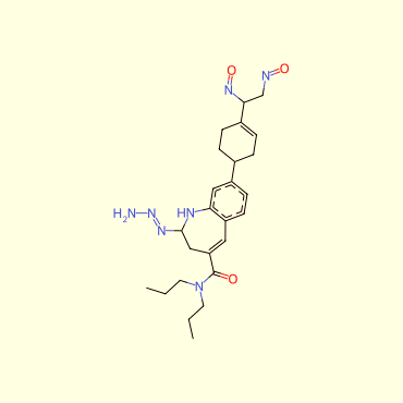 CCCN(CCC)C(=O)C1=Cc2ccc(C3CC=C(C(CN=O)N=O)CC3)cc2NC(N=NN)C1